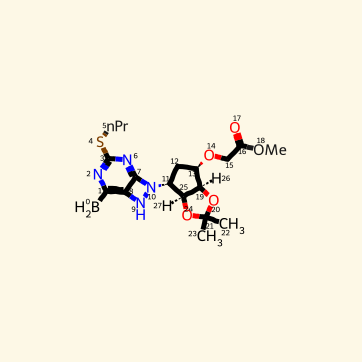 Bc1nc(SCCC)nc2c1[nH]n2[C@@H]1C[C@H](OCC(=O)OC)[C@H]2OC(C)(C)O[C@H]21